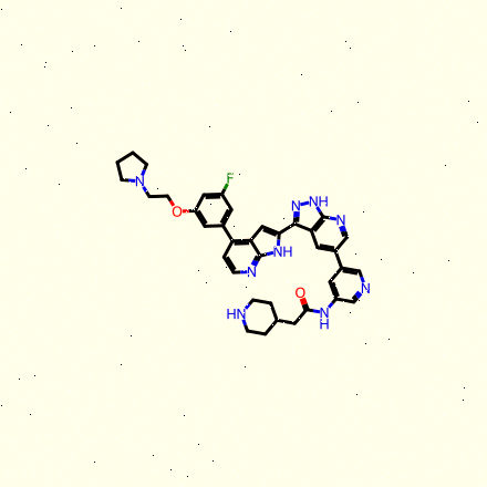 O=C(CC1CCNCC1)Nc1cncc(-c2cnc3[nH]nc(-c4cc5c(-c6cc(F)cc(OCCN7CCCC7)c6)ccnc5[nH]4)c3c2)c1